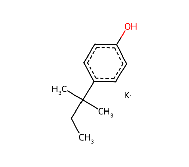 CCC(C)(C)c1ccc(O)cc1.[K]